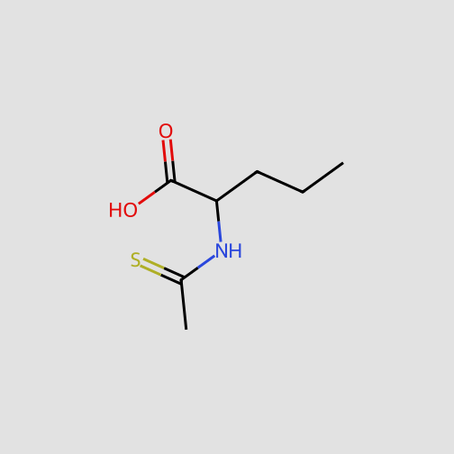 CCCC(NC(C)=S)C(=O)O